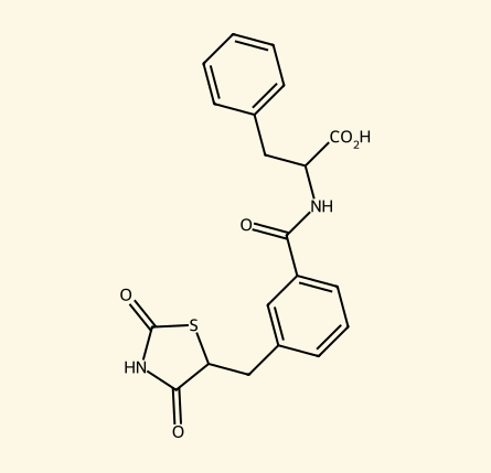 O=C1NC(=O)C(Cc2cccc(C(=O)NC(Cc3ccccc3)C(=O)O)c2)S1